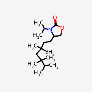 BC(C)(CCC1COC(=O)N1C(C)C)CC(C)(C)C(C)C